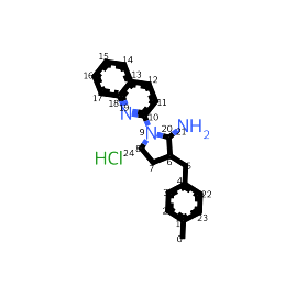 Cc1ccc(CC2CCN(c3ccc4ccccc4n3)C2N)cc1.Cl